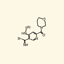 CCCNc1cc(C(=O)N2CCCOCC2)ncc1C(=N)Br